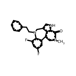 Cn1cc2c3c(c[nH]c3c1=O)CN(CCc1ccccc1)c1c(F)cc(F)cc1-2